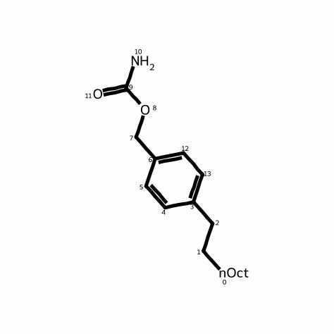 CCCCCCCCCCc1ccc(COC(N)=O)cc1